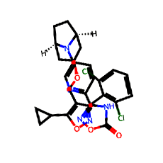 O=c1[nH]c(-c2ccc(N3[C@@H]4CC[C@H]3C[C@@H](OCc3c(-c5c(Cl)cccc5Cl)noc3C3CC3)C4)cn2)no1